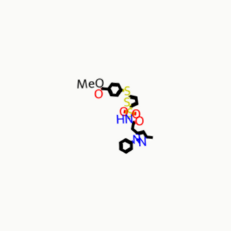 COC(=O)c1ccc(Sc2ccc(S(=O)(=O)NC(=O)Cc3cc(C)nn3-c3ccccc3)s2)cc1